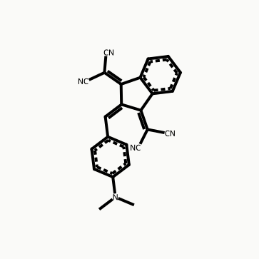 CN(C)c1ccc(C=C2C(=C(C#N)C#N)c3ccccc3C2=C(C#N)C#N)cc1